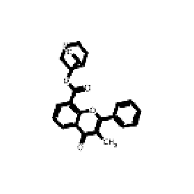 Cc1c(-c2ccccc2)oc2c(C(=O)OC3CN4CCC3CC4)cccc2c1=O